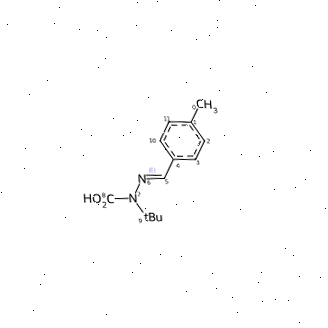 Cc1ccc(/C=N/N(C(=O)O)C(C)(C)C)cc1